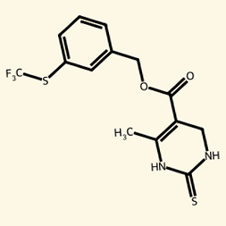 CC1=C(C(=O)OCc2cccc(SC(F)(F)F)c2)CNC(=S)N1